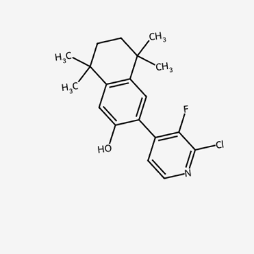 CC1(C)CCC(C)(C)c2cc(-c3ccnc(Cl)c3F)c(O)cc21